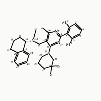 CCc1cccc(CC)c1-c1nc(C)c(CN(C)[C@H]2CCCc3ccccc32)c(N2CCCC(C)(C)C2)n1